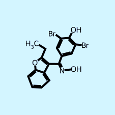 CCc1oc2ccccc2c1C(=NO)c1cc(Br)c(O)c(Br)c1